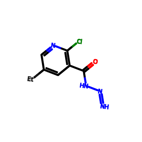 CCc1cnc(Cl)c(C(=O)NN=N)c1